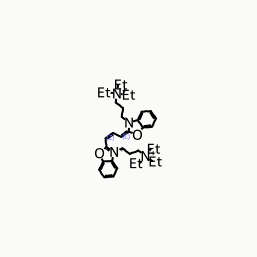 CC[N+](CC)(CC)CCCN1/C(=C\C=C/c2oc3ccccc3[n+]2CCC[N+](CC)(CC)CC)Oc2ccccc21